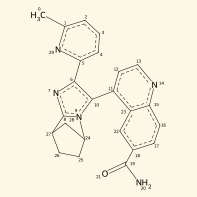 Cc1cccc(-c2nc3n(c2-c2ccnc4ccc(C(N)=O)cc24)C2CCC3C2)n1